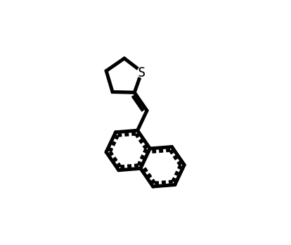 C(=C1CCCS1)c1cccc2ccccc12